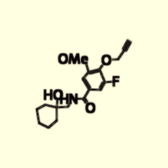 C#CCOc1c(F)cc(C(=O)NCC2(O)CCCCC2)cc1OC